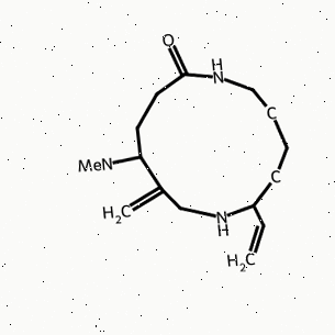 C=CC1CCCCNC(=O)CCC(NC)C(=C)CN1